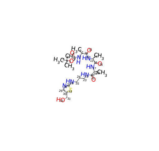 C[C@H](NC(=O)OC(C)(C)C)C(=O)N[C@@H](C)C(=O)N[C@@H](C)C(=O)NCCCNc1ncc(CO)s1